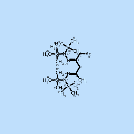 CC(=O)CC(CC(C)=NN([Si](C)(C)C)[Si](C)(C)C)=NN([Si](C)(C)C)[Si](C)(C)C